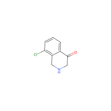 O=C1CNCc2c(Cl)cccc21